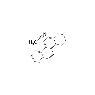 CC#N.c1ccc2c(c1)ccc1c3c(ccc12)CCCC3